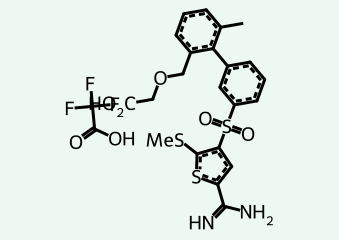 CSc1sc(C(=N)N)cc1S(=O)(=O)c1cccc(-c2c(C)cccc2COCC(=O)O)c1.O=C(O)C(F)(F)F